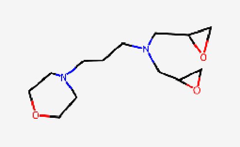 C(CN1CCOCC1)CN(CC1CO1)CC1CO1